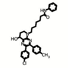 Cc1ccc(-c2nc3c(nc2-c2ccc(Cl)cc2)C(O)CCN3CCCCCCC(=O)Nc2ccccc2)cc1